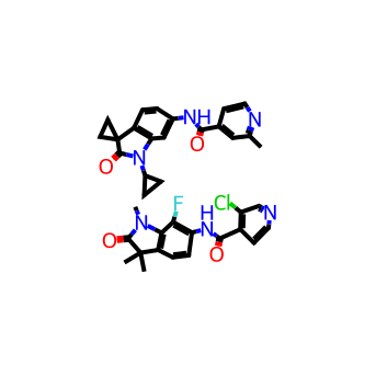 CN1C(=O)C(C)(C)c2ccc(NC(=O)c3ccncc3Cl)c(F)c21.Cc1cc(C(=O)Nc2ccc3c(c2)N(C2CC2)C(=O)C32CC2)ccn1